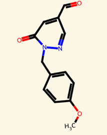 COc1ccc(Cn2ncc(C=O)cc2=O)cc1